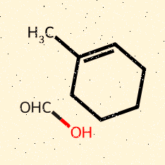 CC1=CCCCC1.O=CO